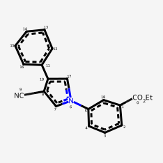 CCOC(=O)c1cccc(-n2cc(C#N)c(-c3ccccc3)c2)c1